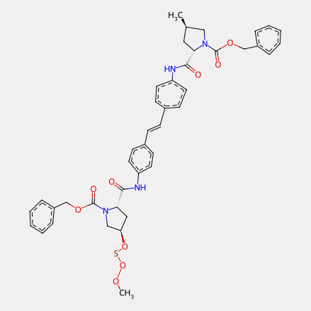 COOSO[C@@H]1C[C@@H](C(=O)Nc2ccc(/C=C/c3ccc(NC(=O)[C@@H]4C[C@@H](C)CN4C(=O)OCc4ccccc4)cc3)cc2)N(C(=O)OCc2ccccc2)C1